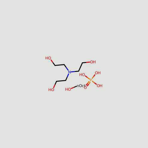 CCCCCCCCO.O=P(O)(O)O.OCCN(CCO)CCO